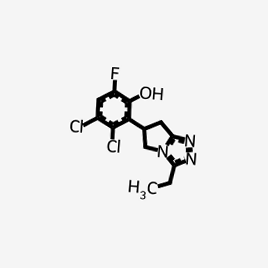 CCc1nnc2n1CC(c1c(O)c(F)cc(Cl)c1Cl)C2